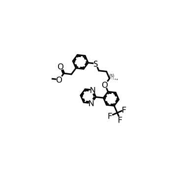 COC(=O)Cc1cccc(SCC[C@H](C)Oc2ccc(C(F)(F)F)cc2-c2ncccn2)c1